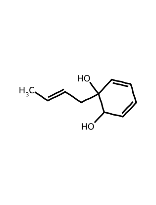 CC=CCC1(O)C=CC=CC1O